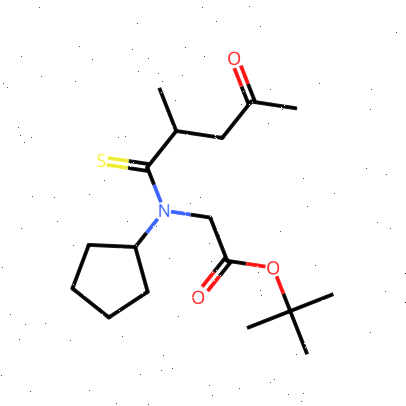 CC(=O)CC(C)C(=S)N(CC(=O)OC(C)(C)C)C1CCCC1